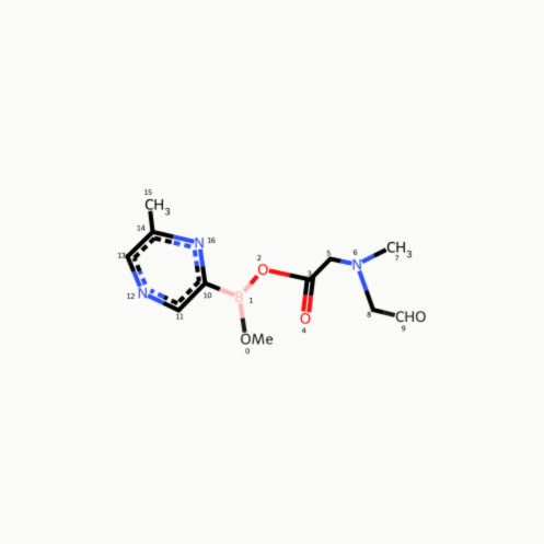 COB(OC(=O)CN(C)CC=O)c1cncc(C)n1